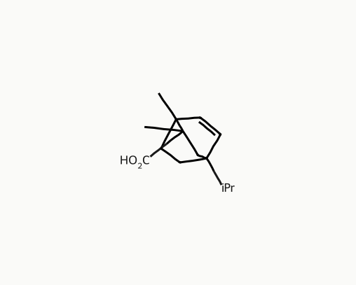 CC(C)C12C=CC(C)(CC1)C(C)(C(=O)O)C2